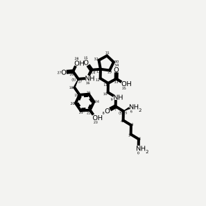 NCCCC[C@H](N)C(=O)NCC(CC1(C(=O)N[C@@H](Cc2ccc(O)cc2)C(=O)O)CCCC1)C(=O)O